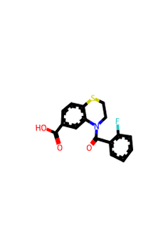 O=C(O)c1ccc2c(c1)N(C(=O)c1ccccc1F)CCS2